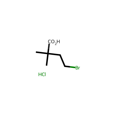 CC(C)(CCBr)C(=O)O.Cl